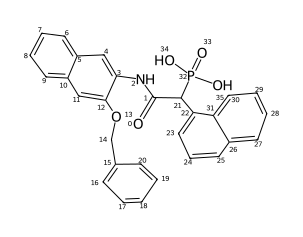 O=C(Nc1cc2ccccc2cc1OCc1ccccc1)C(c1cccc2ccccc12)P(=O)(O)O